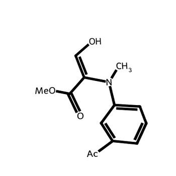 COC(=O)/C(=C/O)N(C)c1cccc(C(C)=O)c1